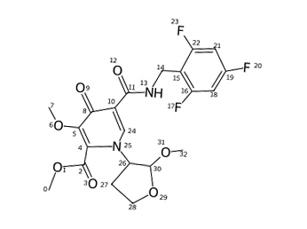 COC(=O)c1c(OC)c(=O)c(C(=O)NCc2c(F)cc(F)cc2F)cn1C1CCOC1OC